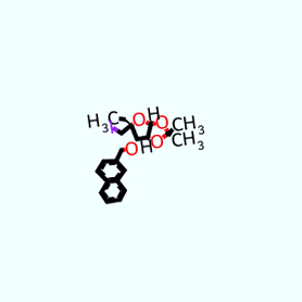 CC[C@@]1(CI)O[C@@H]2OC(C)(C)O[C@@H]2[C@@H]1OCc1ccc2ccccc2c1